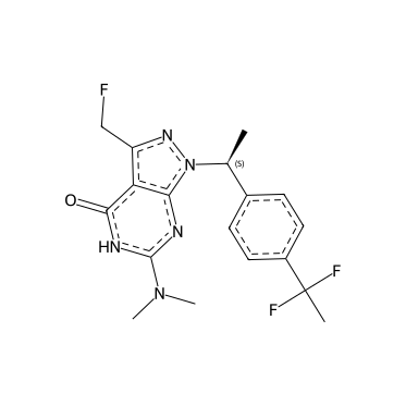 C[C@@H](c1ccc(C(C)(F)F)cc1)n1nc(CF)c2c(=O)[nH]c(N(C)C)nc21